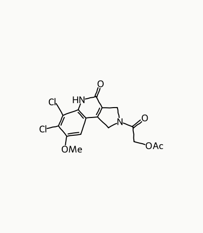 COc1cc2c3c(c(=O)[nH]c2c(Cl)c1Cl)CN(C(=O)COC(C)=O)C3